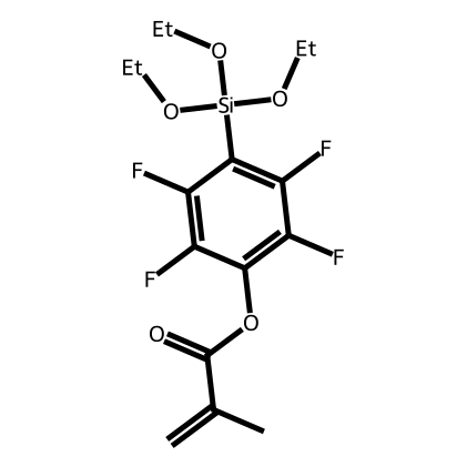 C=C(C)C(=O)Oc1c(F)c(F)c([Si](OCC)(OCC)OCC)c(F)c1F